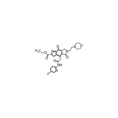 CCOC(=O)c1cc2n(CC(=O)Nc3ccc(F)cn3)c3c(c(=O)n2n1)CN(CCN1CCOCC1)C3=O